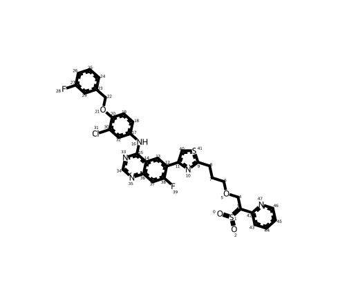 O=S(=O)=C(COCCCc1nc(-c2cc3c(Nc4ccc(OCc5cccc(F)c5)c(Cl)c4)ncnc3cc2F)cs1)c1ccccn1